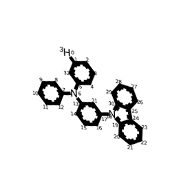 [3H]c1cccc(N(c2ccccc2)c2cccc(-n3c4ccccc4c4ccccc43)c2)c1